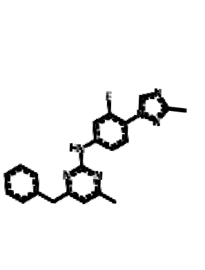 Cc1cc(Cc2ccccc2)nc(Nc2ccc(-n3cnc(C)n3)c(F)c2)n1